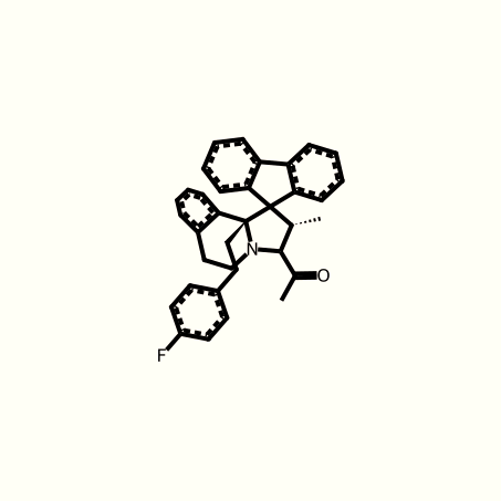 CC(=O)C1[C@@H](C)C2(c3ccccc3-c3ccccc32)[C@@]2(CCc3ccc(F)cc3)c3ccccc3CCN12